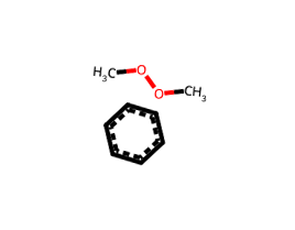 COOC.c1ccccc1